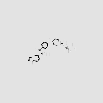 CN(C(=O)c1ccc(OC2CCN(C(=O)OC(C)(C)C)CC2)cc1)c1ccc2nccn2c1